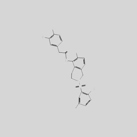 O=C(Cc1ccc(C(F)(F)F)c(F)c1)Nc1c(Cl)ccc2c1CCN(S(=O)(=O)c1cc(Cl)ccc1Cl)C2